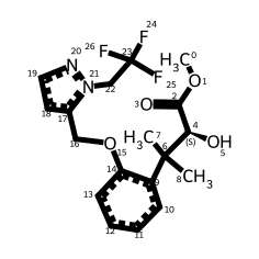 COC(=O)[C@@H](O)C(C)(C)c1ccccc1OCc1ccnn1CC(F)(F)F